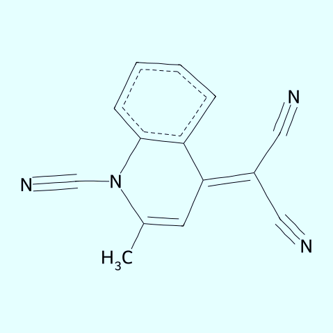 CC1=CC(=C(C#N)C#N)c2ccccc2N1C#N